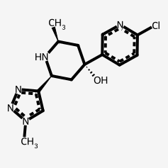 C[C@H]1C[C@@](O)(c2ccc(Cl)nc2)C[C@@H](c2cn(C)nn2)N1